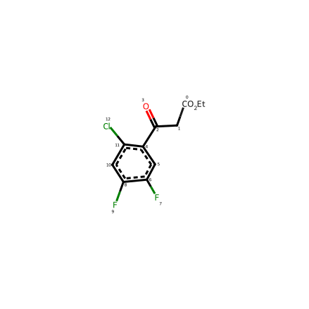 CCOC(=O)CC(=O)c1cc(F)c(F)cc1Cl